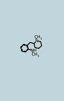 CNc1ccccc1CC1CCCCN1C